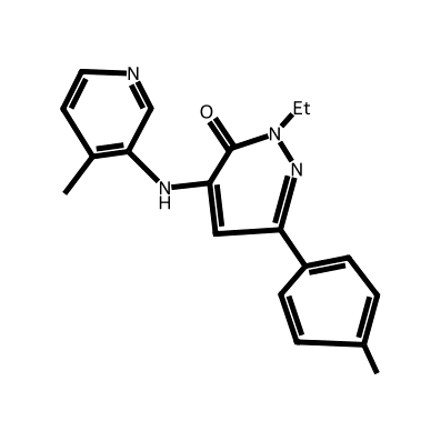 CCn1nc(-c2ccc(C)cc2)cc(Nc2cnccc2C)c1=O